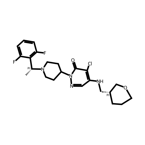 C[C@H](c1c(F)cccc1F)N1CCC(n2ncc(NC[C@H]3CCCOC3)c(Cl)c2=O)CC1